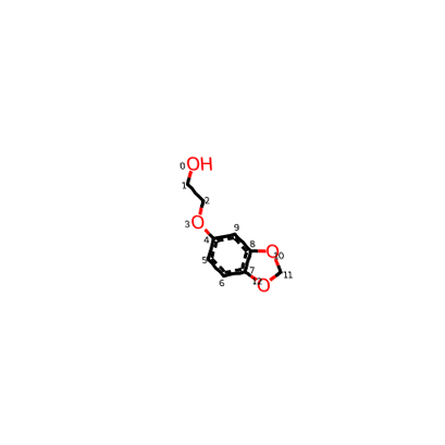 OCCOc1ccc2c(c1)OCO2